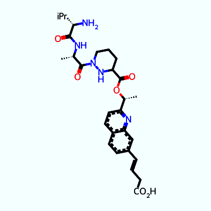 CC(C)[C@H](N)C(=O)N[C@@H](C)C(=O)N1CCCC(C(=O)O[C@H](C)c2ccc3ccc(/C=C/CC(=O)O)cc3n2)N1